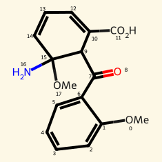 COc1ccccc1C(=O)C1C(C(=O)O)=CC=CC1(N)OC